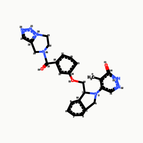 Cc1c(N2Cc3ccccc3C2COc2cccc(C(=O)N3CCn4nncc4C3)c2)cn[nH]c1=O